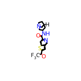 O=C(N[C@@H]1C[C@H]2CCN(C2)C1)c1cc2sc(C(=O)C(F)(F)F)cc2cn1